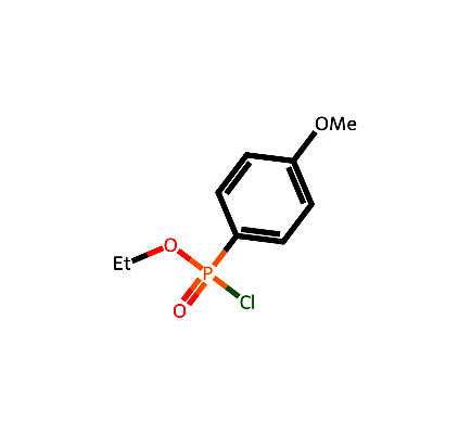 CCOP(=O)(Cl)c1ccc(OC)cc1